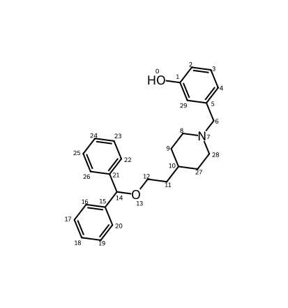 Oc1cccc(CN2CCC(CCOC(c3ccccc3)c3ccccc3)CC2)c1